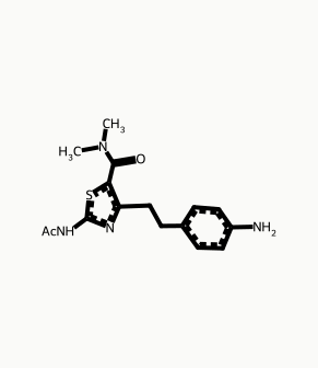 CC(=O)Nc1nc(CCc2ccc(N)cc2)c(C(=O)N(C)C)s1